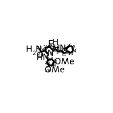 COc1cc(Nc2nc(NCc3cc4ccccc4[nH]3)c(F)cc2C(N)=O)cc(OC)c1